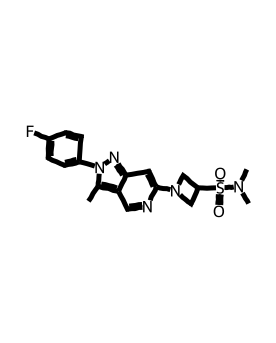 Cc1c2cnc(N3CC(S(=O)(=O)N(C)C)C3)cc2nn1-c1ccc(F)cc1